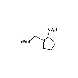 CCCCCCN1CCC[C@H]1C(=O)O